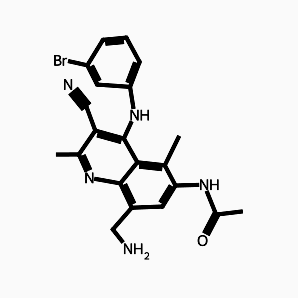 CC(=O)Nc1cc(CN)c2nc(C)c(C#N)c(Nc3cccc(Br)c3)c2c1C